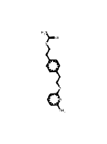 N=C(N)SCCc1ccc(CCSc2cccc(N)n2)cc1